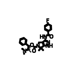 C[C@@H]([C@@H](OC(=O)N1Cc2c(NC(=O)c3ccc(F)cc3)n[nH]c2C1(C)C)c1ccccc1)N(C)C